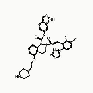 O=C(Nc1ccc2cn[nH]c2c1)C1c2cccc(OCCC3CCNCC3)c2CCN1C(=O)/C=C/c1c(-n2cnnn2)ccc(Cl)c1F